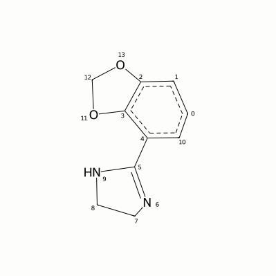 c1cc2c(c(C3=NCCN3)c1)OCO2